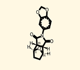 O=C1[C@@H]2[C@H](C(=O)N1c1ccc3c(c1)OCO3)[C@H]1CC[C@@H]2O1